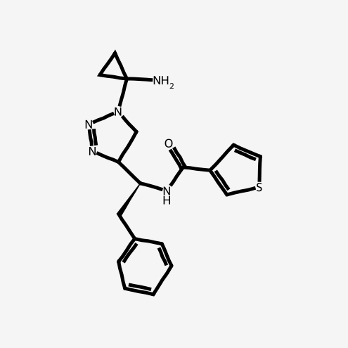 NC1(N2CC([C@H](Cc3ccccc3)NC(=O)c3ccsc3)N=N2)CC1